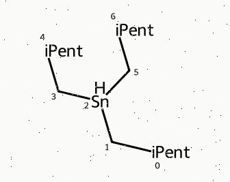 CCCC(C)[CH2][SnH]([CH2]C(C)CCC)[CH2]C(C)CCC